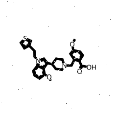 COc1ccc(C(=O)O)c(CN2CCC(c3cn(CCc4ccsc4)c4cccc(OC)c34)CC2)c1